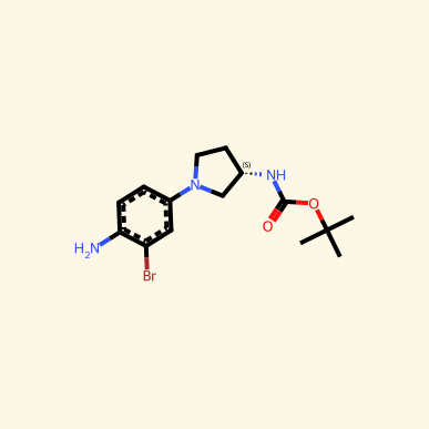 CC(C)(C)OC(=O)N[C@H]1CCN(c2ccc(N)c(Br)c2)C1